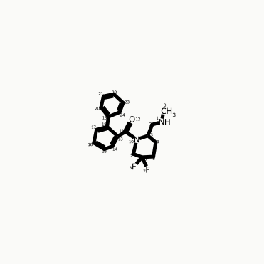 CNCC1CCC(F)(F)CN1C(=O)c1ccccc1-c1ccccc1